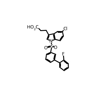 O=C(O)CCc1cn(S(=O)(=O)c2cccc(-c3ccccc3F)c2)c2ccc(Cl)cc12